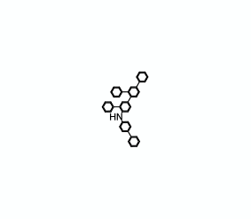 c1ccc(-c2ccc(Nc3ccc(-c4ccc(-c5ccccc5)cc4-c4ccccc4)cc3-c3ccccc3)cc2)cc1